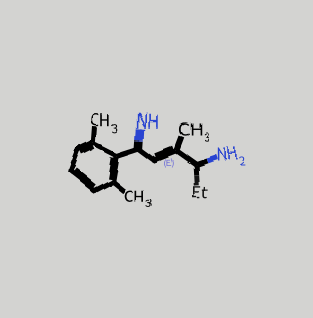 CCC(N)/C(C)=C/C(=N)c1c(C)cccc1C